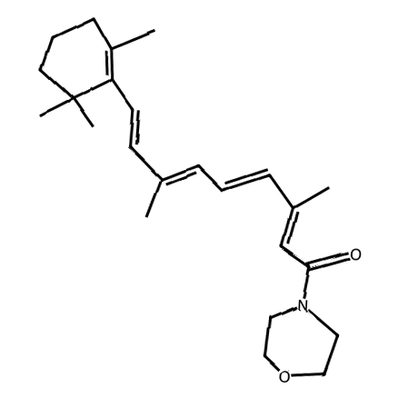 CC(C=CC1=C(C)CCCC1(C)C)=CC=CC(C)=CC(=O)N1CCOCC1